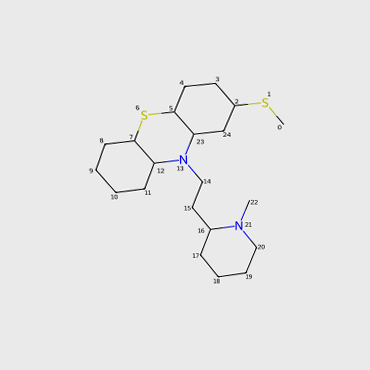 CSC1CCC2SC3CCCCC3N(CCC3CCCCN3C)C2C1